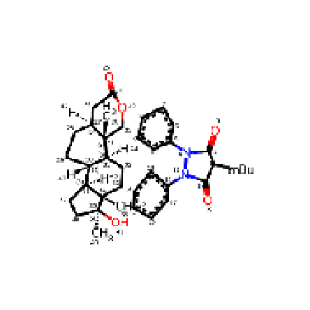 CCCCC1C(=O)N(c2ccccc2)N(c2ccccc2)C1=O.C[C@]12COC(=O)C[C@@H]1CC[C@@H]1[C@@H]2CC[C@@]2(C)[C@H]1CC[C@]2(C)O